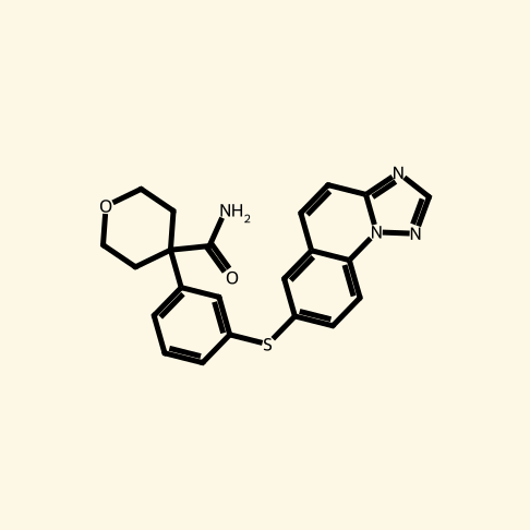 NC(=O)C1(c2cccc(Sc3ccc4c(ccc5ncnn54)c3)c2)CCOCC1